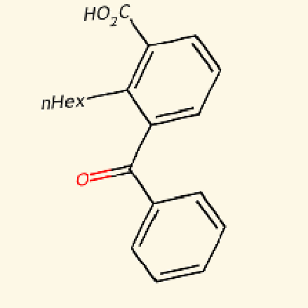 CCCCCCc1c(C(=O)O)cccc1C(=O)c1ccccc1